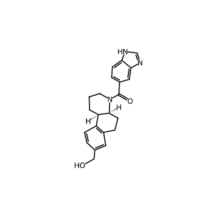 O=C(c1ccc2[nH]cnc2c1)N1CCC[C@@H]2c3ccc(CO)cc3CC[C@@H]21